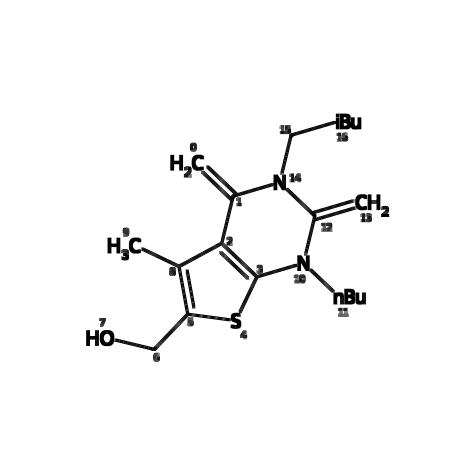 C=C1c2c(sc(CO)c2C)N(CCCC)C(=C)N1CC(C)CC